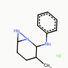 CC1CCC2NN2C1Nc1ccccc1.F